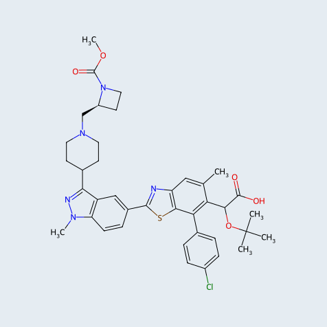 COC(=O)N1CC[C@H]1CN1CCC(c2nn(C)c3ccc(-c4nc5cc(C)c(C(OC(C)(C)C)C(=O)O)c(-c6ccc(Cl)cc6)c5s4)cc23)CC1